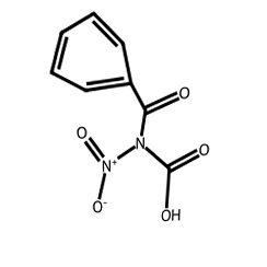 O=C(O)N(C(=O)c1ccccc1)[N+](=O)[O-]